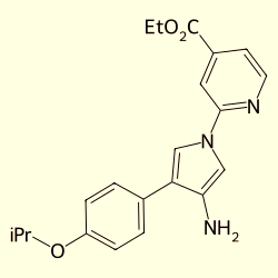 CCOC(=O)c1ccnc(-n2cc(N)c(-c3ccc(OC(C)C)cc3)c2)c1